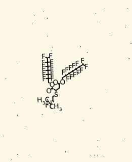 C[N+](C)(I)CCSC(CC(=O)OCC(F)(F)C(F)(F)C(F)(F)C(F)(F)C(F)(F)C(F)F)C(=O)OCC(F)(F)C(F)(F)C(F)(F)C(F)(F)C(F)(F)C(F)F